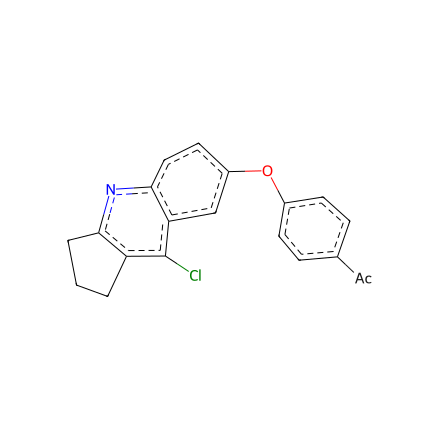 CC(=O)c1ccc(Oc2ccc3nc4c(c(Cl)c3c2)CCC4)cc1